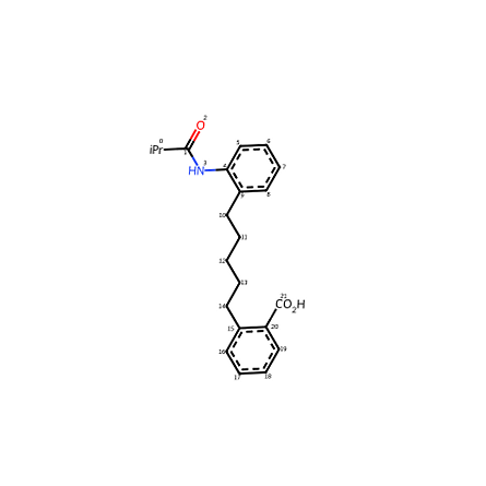 CC(C)C(=O)Nc1ccccc1CCCCCc1ccccc1C(=O)O